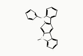 Cn1c2ccccc2c2cc3c4ccccc4p(-c4ccccc4)c3cc21